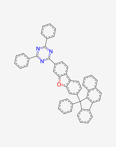 c1ccc(-c2nc(-c3ccccc3)nc(-c3ccc4c(c3)oc3cc(C5(c6ccccc6)c6ccccc6-c6ccc7ccccc7c65)ccc34)n2)cc1